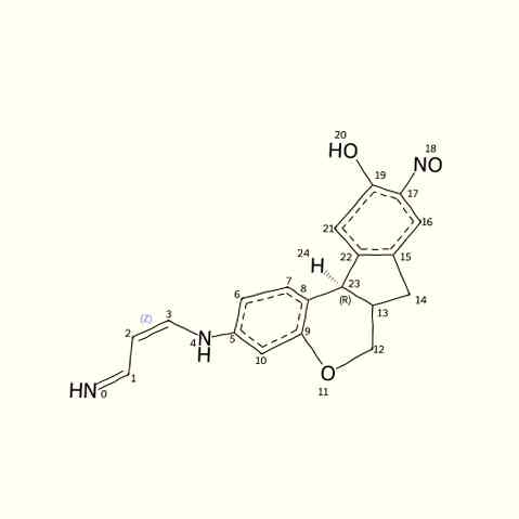 N=C/C=C\Nc1ccc2c(c1)OCC1Cc3cc(N=O)c(O)cc3[C@H]21